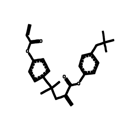 C=CC(=O)Oc1ccc(C(C)(C)CC(=C)C(=O)Oc2ccc(CC(C)(C)C)cc2)cc1